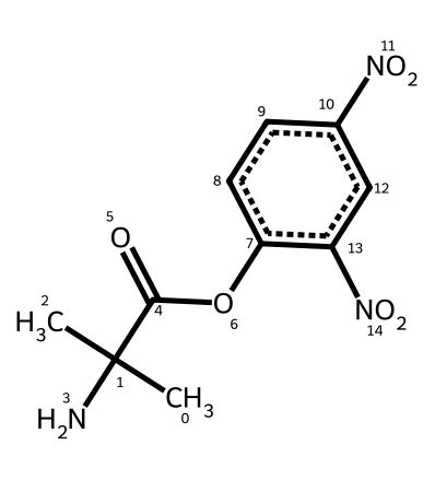 CC(C)(N)C(=O)Oc1ccc([N+](=O)[O-])cc1[N+](=O)[O-]